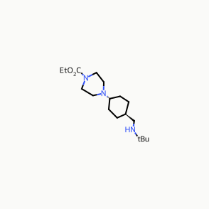 CCOC(=O)N1CCN([C@H]2CC[C@H](CNC(C)(C)C)CC2)CC1